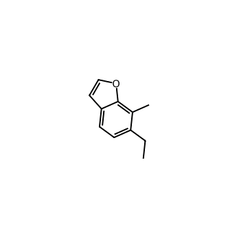 CCc1ccc2ccoc2c1C